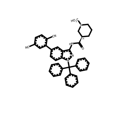 N#Cc1ccc(C#N)c(-c2ccc3c(c2)c(NC(=O)[C@@H]2CCCN(C(=O)O)C2)nn3C(c2ccccc2)(c2ccccc2)c2ccccc2)c1